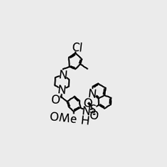 COc1cc(C(=O)N2CCN(Cc3cc(C)cc(Cl)c3)CC2)ccc1NS(=O)(=O)c1cccc2cccnc12